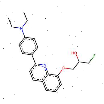 CCN(CC)c1ccc(-c2ccc3cccc(OCC(O)CF)c3n2)cc1